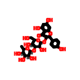 CC1O[C@@H](OC2C(O)[C@H](Oc3c(-c4ccc(O)cc4)oc4cc(O)cc(O)c4c3=O)OC(CO)[C@H]2O)[C@@H](O)C(O)[C@H]1O